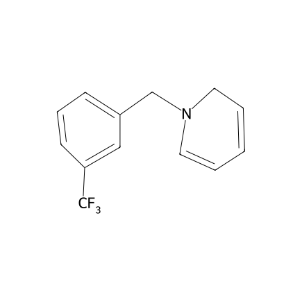 FC(F)(F)c1cccc(CN2C=CC=CC2)c1